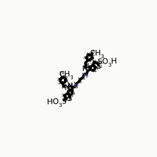 Cc1ccc(Cn2nc(/C=C/CCC/C=C/c3nn(Cc4ccc(C)cc4)c4c3Cc3sc(S(=O)(=O)O)cc3-4)c3c2-c2cc(S(=O)(=O)O)sc2C3)cc1